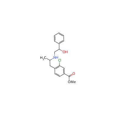 COC(=O)c1ccc(CC(C)NCC(O)c2ccccc2)c(Cl)c1